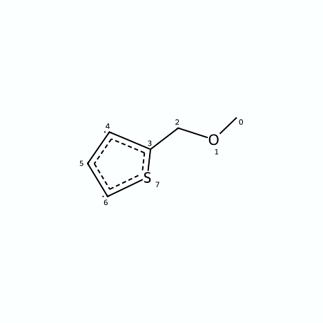 COCc1[c]c[c]s1